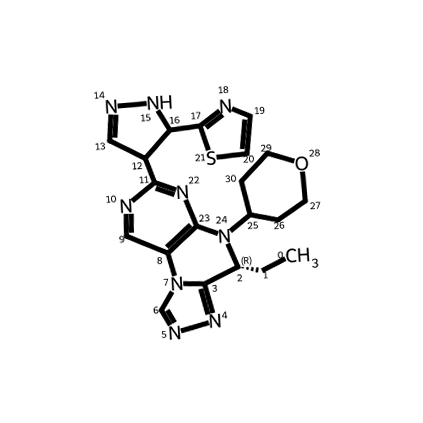 CC[C@@H]1c2nncn2-c2cnc(C3C=NNC3c3nccs3)nc2N1C1CCOCC1